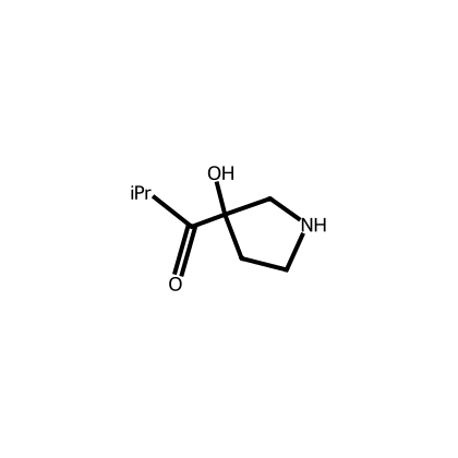 CC(C)C(=O)C1(O)CCNC1